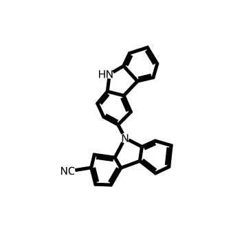 N#Cc1ccc2c3ccccc3n(-c3ccc4[nH]c5ccccc5c4c3)c2c1